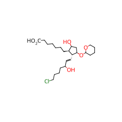 O=C(O)CCCCCC[C@@H]1[C@@H](C=CC(O)CCCCCl)[C@H](OC2CCCCO2)C[C@@H]1O